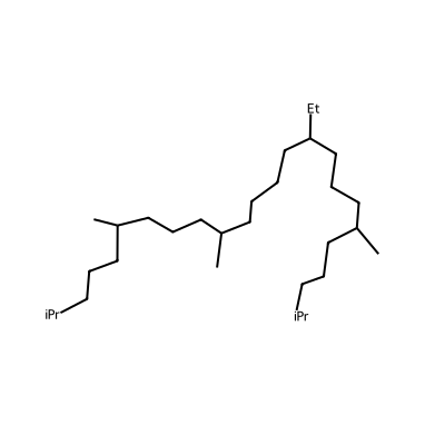 CCC(CCCCC(C)CCCC(C)CCCC(C)C)CCCC(C)CCCC(C)C